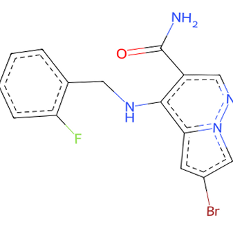 NC(=O)c1cnn2cc(Br)cc2c1NCc1ccccc1F